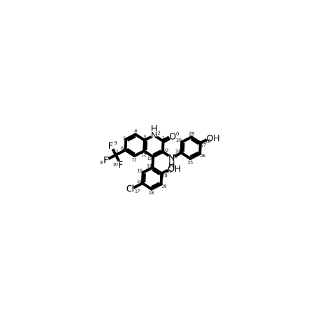 O=c1[nH]c2ccc(C(F)(F)F)cc2c(-c2cc(Cl)ccc2O)c1Nc1ccc(O)cc1